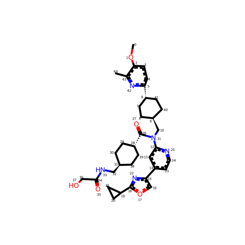 COc1ccc([C@H]2CC[C@H](CN(c3cc(-c4coc(C5CC5)n4)ccn3)C(=O)[C@H]3CC[C@H](CNC(=O)CO)CC3)CC2)nc1C